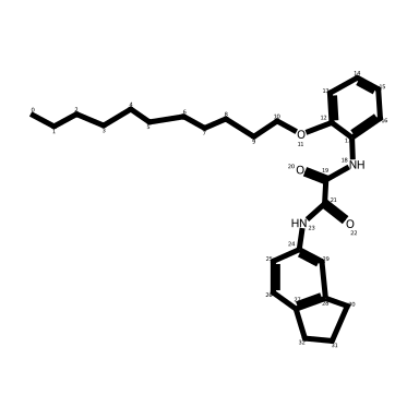 CCCCCCCCCCCOc1ccccc1NC(=O)C(=O)Nc1ccc2c(c1)CCC2